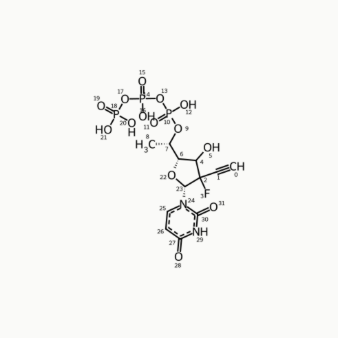 C#CC1(F)C(O)[C@@H]([C@H](C)OP(=O)(O)OP(=O)(O)OP(=O)(O)O)O[C@H]1n1ccc(=O)[nH]c1=O